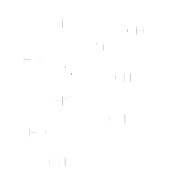 C.CN([SiH](C)C)[Si](C)(C)C